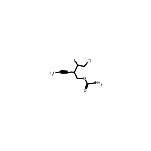 CC#CC(COC(N)=O)C(I)CCl